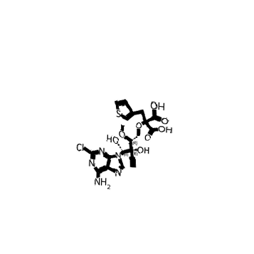 C#C[C@@](O)([C@@H](COC(Cc1ccsc1)(C(=O)O)C(=O)O)OC)[C@@H](O)n1cnc2c(N)nc(Cl)nc21